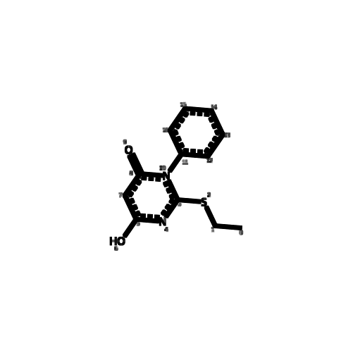 CCSc1nc(O)cc(=O)n1-c1ccccc1